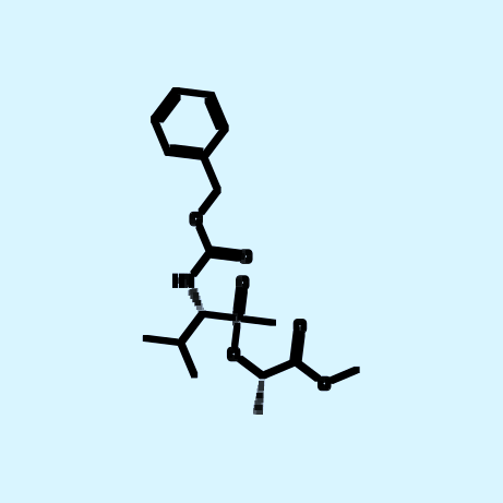 COC(=O)[C@H](C)OP(C)(=O)[C@@H](NC(=O)OCc1ccccc1)C(C)C